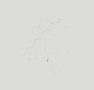 CC(=O)c1cnc2ccc(-c3cc(F)c(O)c(Cl)c3)nc2c1N[C@H]1CC[C@H](CN(C)C)CC1.Cl.Cl